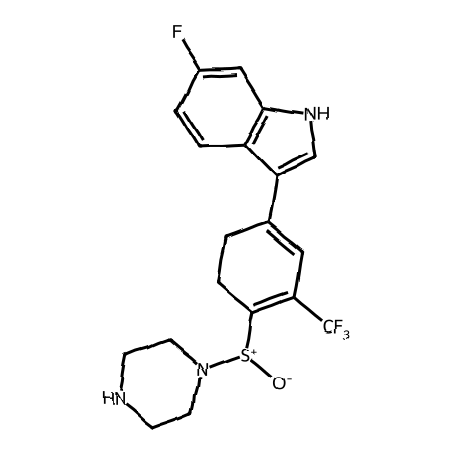 [O-][S+](C1=C(C(F)(F)F)C=C(c2c[nH]c3cc(F)ccc23)CC1)N1CCNCC1